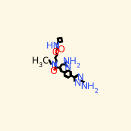 CCCN(CCCOC(=O)NC1CCC1)C(=O)C1=Cc2ccc(-c3cnc(CN)nc3)cc2N=C(N)C1